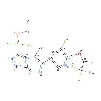 CCOC(F)(F)c1nnc2cnc(-c3cnc(OC(C)C(F)(F)F)c(F)c3)c(C)n12